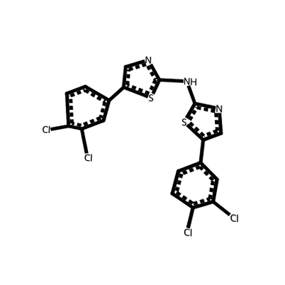 Clc1ccc(-c2cnc(Nc3ncc(-c4ccc(Cl)c(Cl)c4)s3)s2)cc1Cl